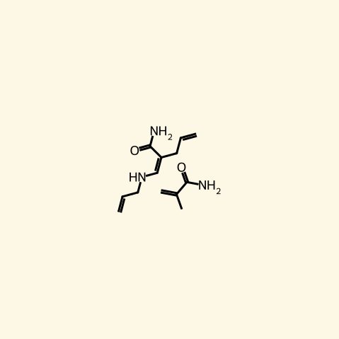 C=C(C)C(N)=O.C=CCNC=C(CC=C)C(N)=O